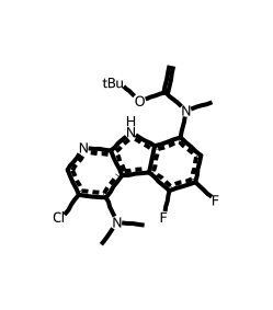 C=C(OC(C)(C)C)N(C)c1cc(F)c(F)c2c1[nH]c1ncc(Cl)c(N(C)C)c12